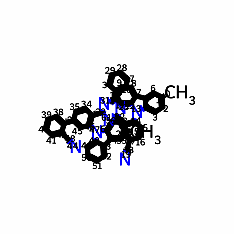 Cc1ccc2c(c1)c1ccccc1n2-c1ccc(C#N)cc1-c1nc(-c2ccccc2)nc(-c2ccc(-c3ccccc3C#N)cc2-n2c3ccccc3c3cc(C)ccc32)n1